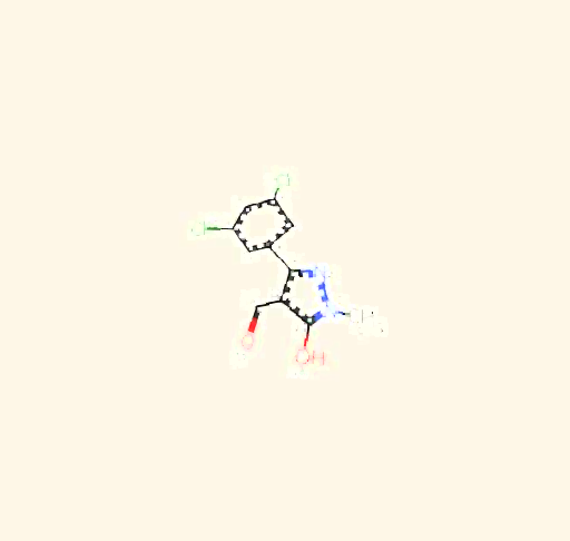 Cn1nc(-c2cc(Cl)cc(Cl)c2)c(C=O)c1O